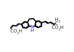 C/C(=C/C=C/c1ccc2c(c1)CCc1cc(/C=C/C=C\C(=O)O)ccc1N2)C(=O)O